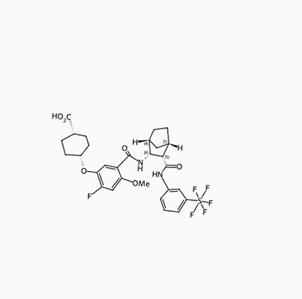 COc1cc(F)c(O[C@H]2CC[C@@H](C(=O)O)CC2)cc1C(=O)N[C@@H]1[C@@H]2CC[C@@H](C2)[C@@H]1C(=O)Nc1cccc(S(F)(F)(F)(F)F)c1